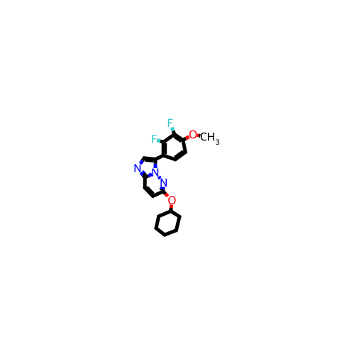 COc1ccc(-c2cnc3ccc(OC4CCCCC4)nn23)c(F)c1F